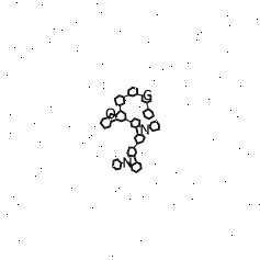 c1ccc(-c2cccc(-c3cccc(-c4cccc(-c5cc(-c6ccc7c(c6)c6cc(-c8ccc9c(c8)c8ccccc8n9-c8ccccc8)ccc6n7-c6ccccc6)cc6c5oc5ccccc56)c4)c3)c2)cc1